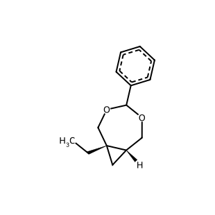 CC[C@@]12COC(c3ccccc3)OC[C@@H]1C2